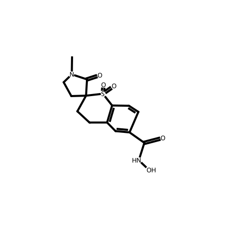 CN1CCC2(CCc3cc(C(=O)NO)ccc3S2(=O)=O)C1=O